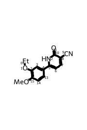 CCOc1cc(-c2ccc(C#N)c(=O)[nH]2)ccc1OC